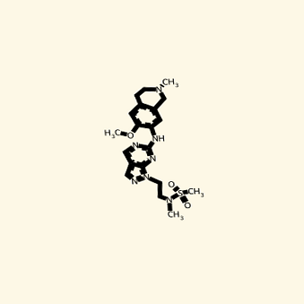 COc1cc2c(cc1Nc1ncc3cnn(CCN(C)S(C)(=O)=O)c3n1)CN(C)CC2